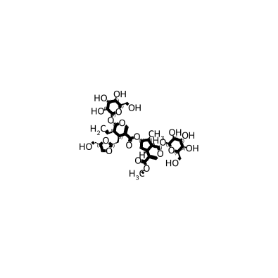 C=C[C@H]1[C@H](O[C@@H]2O[C@H](CO)[C@@H](O)[C@H](O)[C@H]2O)OC=C(C(=O)O[C@H]2C[C@@H]3C(C(=O)OC)=CO[C@@H](O[C@@H]4O[C@H](CO)[C@@H](O)[C@H](O)[C@H]4O)[C@@H]3[C@H]2C)[C@H]1C[C@@H]1OC[C@H](CO)O1